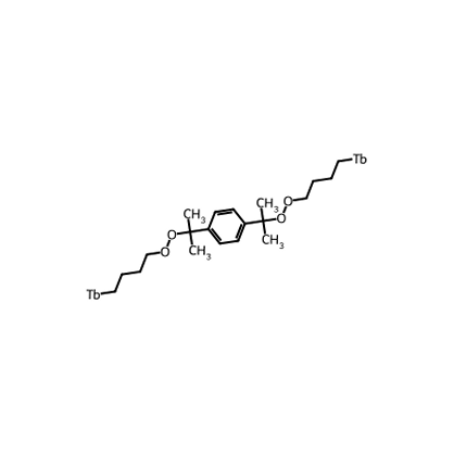 CC(C)(OOCCC[CH2][Tb])c1ccc(C(C)(C)OOCCC[CH2][Tb])cc1